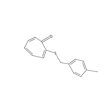 Cc1ccc(CSc2cccccc2=O)cc1